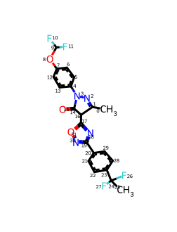 CC1=NN(c2ccc(OC(F)F)cc2)C(=O)C1c1nc(-c2ccc(C(C)(F)F)cc2)no1